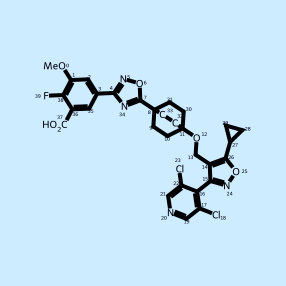 COc1cc(-c2noc(C34CCC(OCc5c(-c6c(Cl)cncc6Cl)noc5C5CC5)(CC3)CC4)n2)cc(C(=O)O)c1F